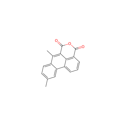 Cc1ccc2c(C)c3c4c(cccc4c2c1)C(=O)OC3=O